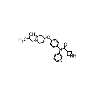 CC(C)CN1CCC(Oc2ccc(N(C(=O)C3CNC3)c3cccnc3)cc2)CC1